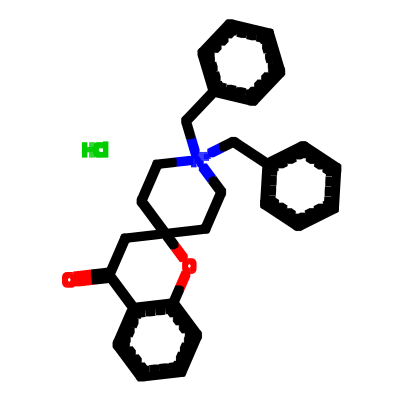 Cl.O=C1CC2(CC[N+](Cc3ccccc3)(Cc3ccccc3)CC2)Oc2ccccc21